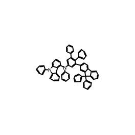 c1ccc(-c2cc(N(c3ccccc3)c3cccc4c3c3ccccc3n4-c3ccccc3)cc(-c3ccc4c(c3)C(c3ccccc3)(c3ccccc3)c3ccccc3-4)c2-c2ccccc2)cc1